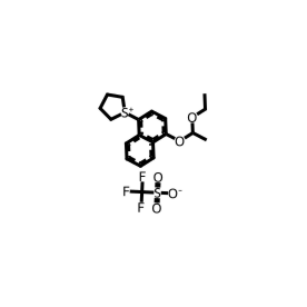 CCOC(C)Oc1ccc([S+]2CCCC2)c2ccccc12.O=S(=O)([O-])C(F)(F)F